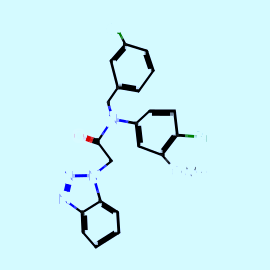 COc1cc(N(Cc2cccc(Cl)c2)C(=O)Cn2nnc3ccccc32)ccc1Br